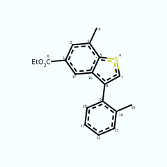 CCOC(=O)c1cc(C)c2scc(-c3ccccc3C)c2c1